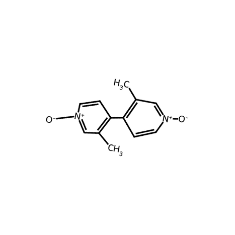 Cc1c[n+]([O-])ccc1-c1cc[n+]([O-])cc1C